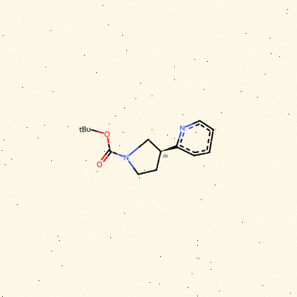 CC(C)(C)OC(=O)N1CC[C@H](c2cc[c]cn2)C1